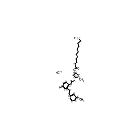 CCCCCCCCCCCC(=O)O[C@@H]1C[C@@H](CCOc2ccc(F)cc2CCc2cccc(OC)c2)N(C)C1.Cl